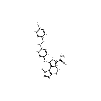 Cn1ncc2c1-c1c(Oc3ccc(OCc4ccc(Cl)cc4)cc3)sc(C(N)=O)c1CC2